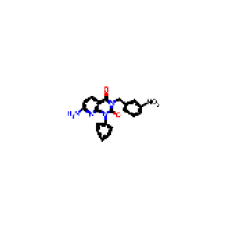 Nc1ccc2c(=O)n(Cc3cccc([N+](=O)[O-])c3)c(=O)n(-c3ccccc3)c2n1